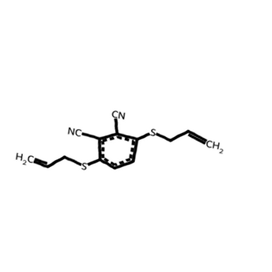 C=CCSc1ccc(SCC=C)c(C#N)c1C#N